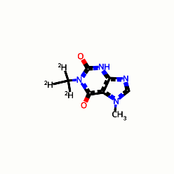 [2H]C([2H])([2H])n1c(=O)[nH]c2ncn(C)c2c1=O